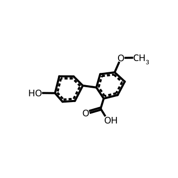 COc1ccc(C(=O)O)c(-c2ccc(O)cc2)c1